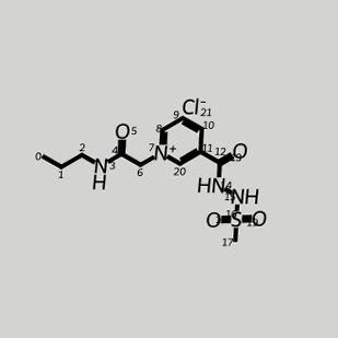 CCCNC(=O)C[n+]1cccc(C(=O)NNS(C)(=O)=O)c1.[Cl-]